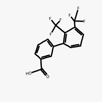 O=C(O)c1cccc(-c2cccc(C(F)(F)F)c2C(F)(F)F)c1